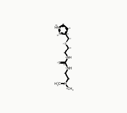 CN(C)CCNC(=S)NCCSCc1cc[nH]n1